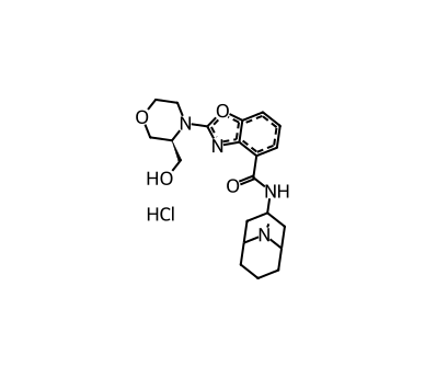 CN1C2CCCC1CC(NC(=O)c1cccc3oc(N4CCOC[C@@H]4CO)nc13)C2.Cl